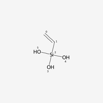 C=C[Si](O)(O)O